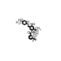 CC1(O)CCC(N/C=C2/C=C(NC(=O)c3cccc(C(F)(F)F)n3)C(C(C)(C)O)=CC2=N)CC1